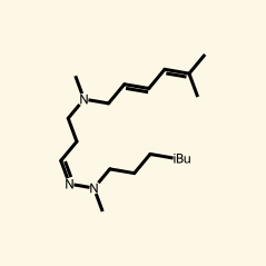 CCC(C)CCCN(C)/N=C\CCN(C)C/C=C/C=C(C)C